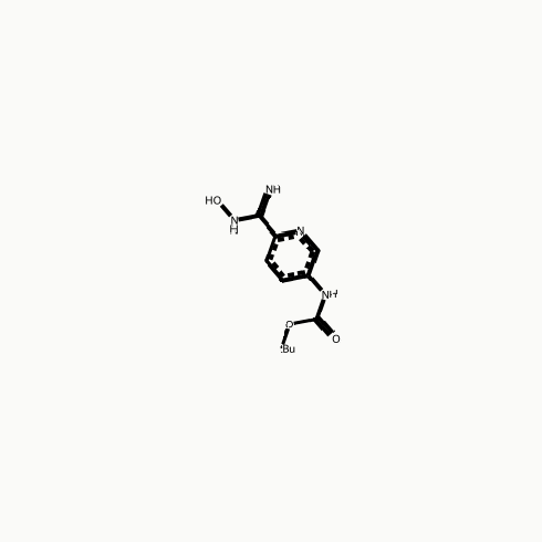 CC(C)(C)OC(=O)Nc1ccc(C(=N)NO)nc1